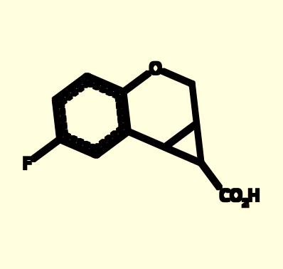 O=C(O)C1C2COc3ccc(F)cc3C21